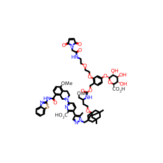 COCC(CCOC12CC3(C)CC(C)(CC(Cn4ncc(-c5ccc(N6CCc7c(OC)ccc(C(=O)Nc8nc9ccccc9s8)c7C6)nc5C(=O)O)c4C)(C3)C1)C2)NC(=O)OCc1ccc(O[C@@H]2O[C@H](C(=O)O)[C@@H](O)[C@H](O)[C@H]2O)cc1OCCOCCNC(=O)CN1C(=O)C=CC1=O